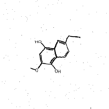 CCc1ccc2c(O)c(OC)cc(O)c2c1